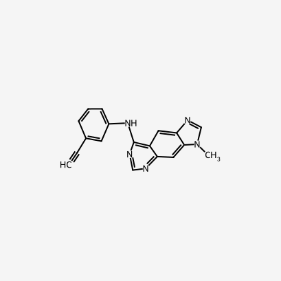 C#Cc1cccc(Nc2ncnc3cc4c(cc23)ncn4C)c1